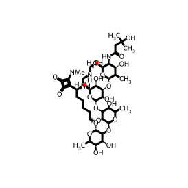 CNc1c(C(CCCCCO[C@H]2OC(C)[C@H](O)[C@H](O)C2O[C@@H]2OC(C)[C@H](O)[C@H](O[C@@H]3OC(C)[C@H](O)[C@H](O[C@@H]4OC(C)[C@@H](NC(=O)CC(C)(C)O)[C@H](O)C4C)C3O)C2O)NCNCO)c(=O)c1=O